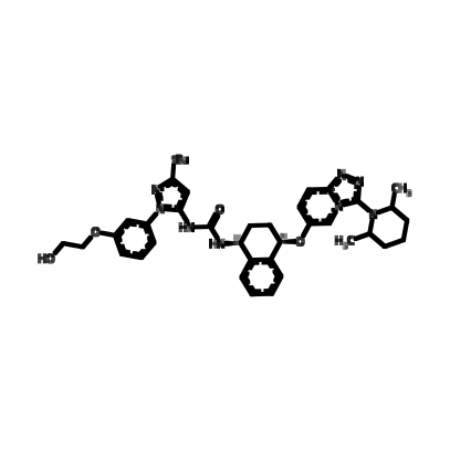 CC1CCCC(C)N1c1nnc2ccc(O[C@@H]3CC[C@H](NC(=O)Nc4cc(C(C)(C)C)nn4-c4cccc(OCCO)c4)c4ccccc43)cn12